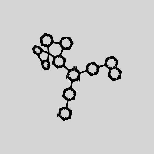 c1cncc(-c2ccc(-c3nc(-c4ccc(-c5cccc6ccccc56)cc4)nc(-c4ccc5c(c4)-c4ccccc4-c4ccccc4C54c5ccccc5-c5ccccc54)n3)cc2)c1